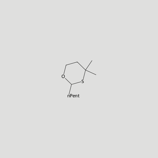 CCCCCC1OCCC(C)(C)S1